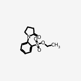 CCOS(=O)(=O)c1ccccc1N1CCCC1=O